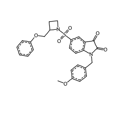 COc1ccc(CN2C(=O)C(=O)c3cc(S(=O)(=O)N4CCC4COc4ccccc4)ccc32)cc1